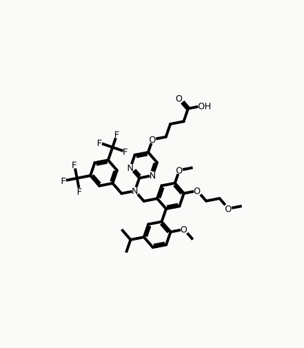 COCCOc1cc(-c2cc(C(C)C)ccc2OC)c(CN(Cc2cc(C(F)(F)F)cc(C(F)(F)F)c2)c2ncc(OCCCC(=O)O)cn2)cc1OC